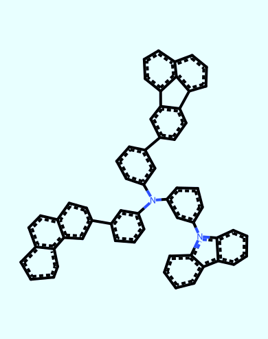 c1cc(-c2ccc3c(c2)-c2cccc4cccc-3c24)cc(N(c2cccc(-c3ccc4ccc5ccccc5c4c3)c2)c2cccc(-n3c4ccccc4c4ccccc43)c2)c1